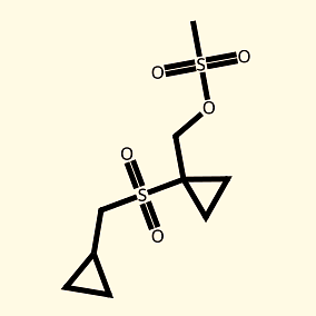 CS(=O)(=O)OCC1(S(=O)(=O)CC2CC2)CC1